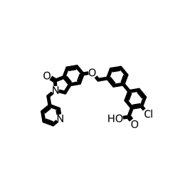 O=C(O)c1cc(-c2cccc(COc3ccc4c(c3)CN(Cc3cccnc3)C4=O)c2)ccc1Cl